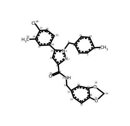 Cc1ccc(Cn2nc(C(=O)NCc3ccc4c(c3)OCO4)cc2-c2ccc(Cl)c(C)c2)cc1